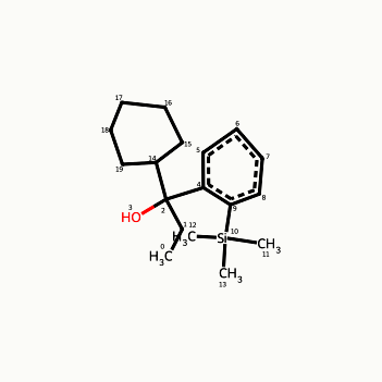 CCC(O)(c1ccccc1[Si](C)(C)C)C1CCCCC1